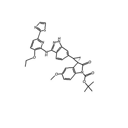 CCOc1ccc(-c2nccs2)nc1Nc1n[nH]c2cc(C3C[C@@]34C(=O)N(C(=O)OC(C)(C)C)c3ccc(OC)cc34)ccc12